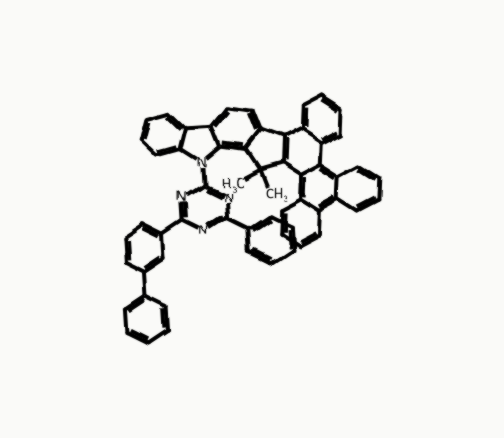 CC1(C)c2c(c3ccccc3c3c4ccccc4c4ccccc4c23)-c2ccc3c4ccccc4n(-c4nc(-c5ccccc5)nc(-c5cccc(-c6ccccc6)c5)n4)c3c21